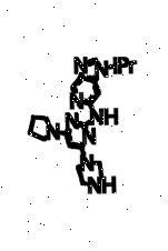 CC(C)n1cnc2cnc(Nc3nc(N4CCCC4)cc(N4CCNCC4)n3)cc21